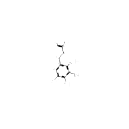 Cc1c(Br)cc(CCC(=O)O)c(O)c1Br